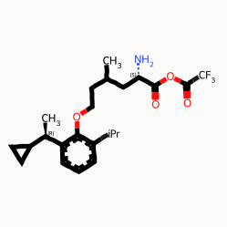 CC(CCOc1c(C(C)C)cccc1[C@H](C)C1CC1)C[C@H](N)C(=O)OC(=O)C(F)(F)F